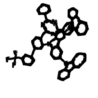 FC(F)(F)c1cccc(-c2ccc(-c3nc(-c4ccccc4)nc(-c4ccccc4)n3)c(-n3c4ccc(-n5c6ccccc6c6ccccc65)cc4c4cc(-n5c6ccccc6c6ccccc65)ccc43)c2)c1